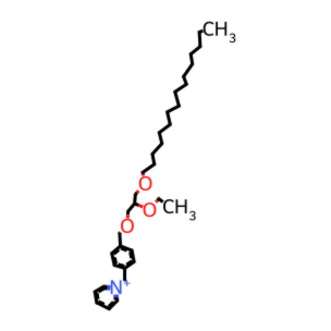 CCCCCCCCCCCCCCCCOCC(COCc1ccc(C[n+]2ccccc2)cc1)OCC